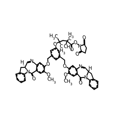 COc1cc2c(cc1OCc1cc(COc3cc4c(cc3OC)C(=O)N3c5ccccc5C[C@H]3C=N4)cc(OC(C)(C)CC(C)(C)C(=O)ON3C(=O)CCC3=O)c1)N=C[C@@H]1Cc3ccccc3N1C2=O